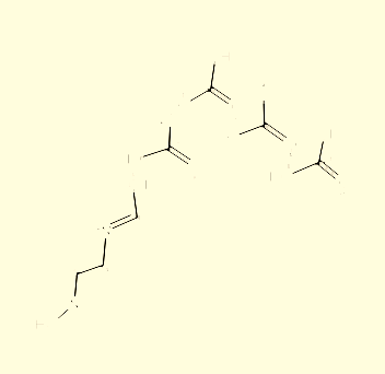 CC(=O)O.CC(=O)O.CC(=O)O.CC(=O)O.CC=NCCNO